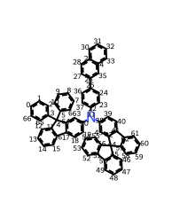 c1ccc(C2(c3ccccc3)c3ccccc3-c3ccc(N(c4ccc(-c5ccc6ccccc6c5)cc4)c4ccc5c(c4)C4(c6ccccc6-c6ccccc64)c4ccccc4-5)cc32)cc1